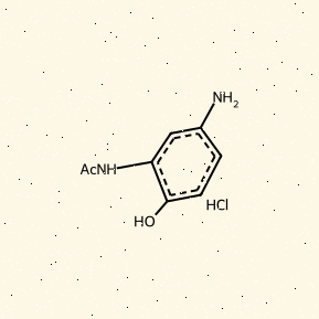 CC(=O)Nc1cc(N)ccc1O.Cl